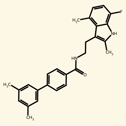 Cc1cc(C)cc(-c2ccc(C(=O)NCCc3c(C)[nH]c4c(F)ccc(C)c34)cc2)c1